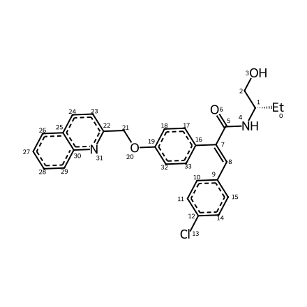 CC[C@@H](CO)NC(=O)/C(=C/c1ccc(Cl)cc1)c1ccc(OCc2ccc3ccccc3n2)cc1